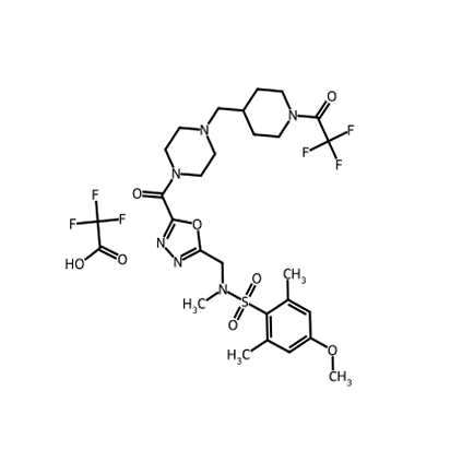 COc1cc(C)c(S(=O)(=O)N(C)Cc2nnc(C(=O)N3CCN(CC4CCN(C(=O)C(F)(F)F)CC4)CC3)o2)c(C)c1.O=C(O)C(F)(F)F